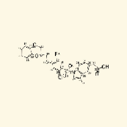 Cc1cn(S(=O)(=O)c2cc(F)c(SCC3COc4ccccc4O3)cc2Cl)c2ccc(CC(=O)O)cc12